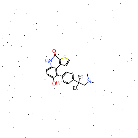 CCC(CC)(CN(C)C)c1ccc(-c2c(O)ccc3[nH]c(=O)c4sccc4c23)cc1